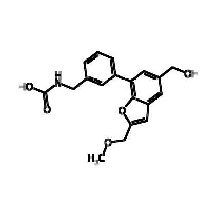 COCc1cc2cc(CO)cc(-c3cccc(CNC(=O)O)c3)c2o1